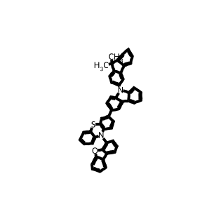 CC1(C)c2ccccc2-c2cc(-n3c4ccccc4c4cc(-c5ccc6c(c5)Sc5ccccc5N6c5cccc6c5oc5ccccc56)ccc43)ccc21